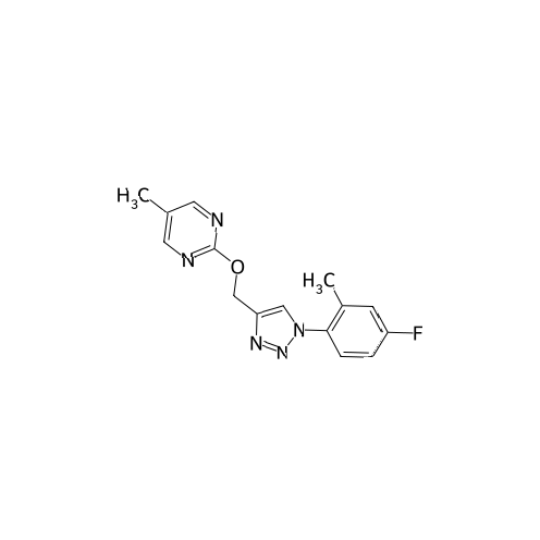 Cc1cnc(OCc2cn(-c3ccc(F)cc3C)nn2)nc1